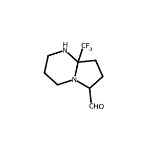 O=CC1CCC2(C(F)(F)F)NCCCN12